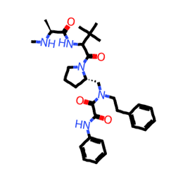 CN[C@@H](C)C(=O)NC(C(=O)N1CCC[C@H]1CN(CCc1ccccc1)C(=O)C(=O)Nc1ccccc1)C(C)(C)C